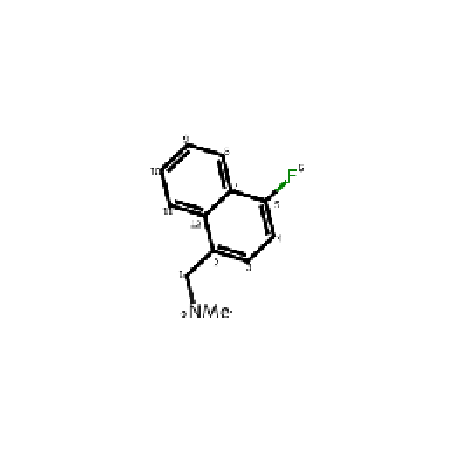 C[N]Cc1ccc(F)c2ccccc12